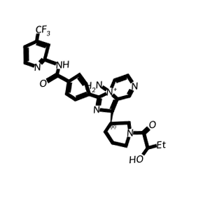 CCC(O)C(=O)N1CCC[C@@H](C2=C3C=NC=C[N+]3(N)C(c3ccc(C(=O)Nc4cc(C(F)(F)F)ccn4)cc3)=N2)C1